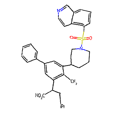 CC(C)CC(C(=O)O)c1cc(-c2ccccc2)cc(C2CCCN(S(=O)(=O)c3cccc4cnccc34)C2)c1C(F)(F)F